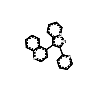 c1ccc(-c2nn3ccccc3c2-c2ccnc3ccccc23)nc1